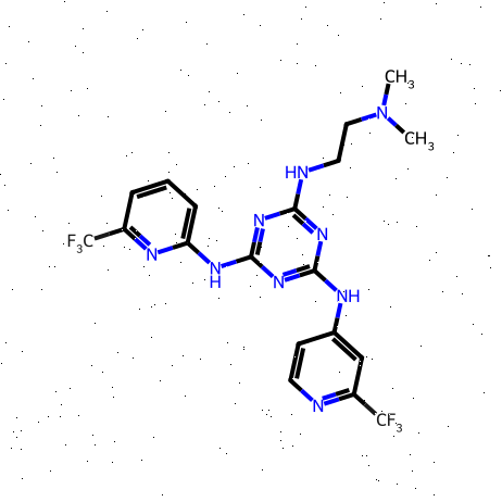 CN(C)CCNc1nc(Nc2ccnc(C(F)(F)F)c2)nc(Nc2cccc(C(F)(F)F)n2)n1